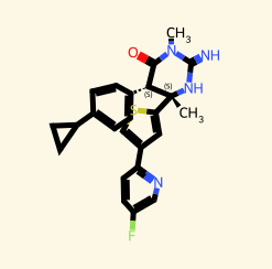 CN1C(=N)N[C@](C)(c2cc(-c3ccc(F)cn3)cs2)[C@H](c2ccc(C3CC3)cc2)C1=O